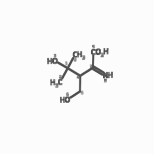 CC(C)(O)C(CO)C(=N)C(=O)O